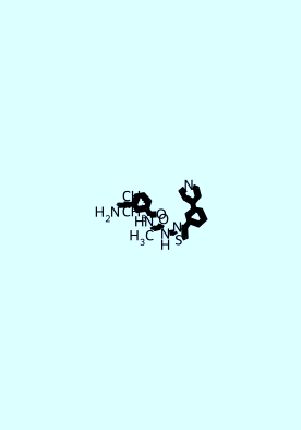 CC(NC(=O)c1cccc(C(C)(C)CN)c1)C(=O)Nc1nc(-c2cccc(-c3ccncc3)c2)cs1